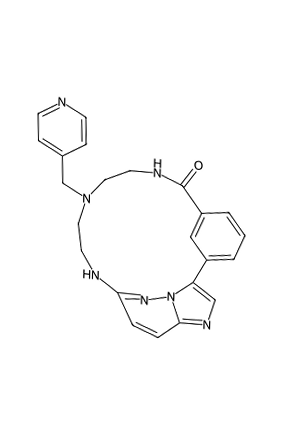 O=C1NCCN(Cc2ccncc2)CCNc2ccc3ncc(n3n2)-c2cccc1c2